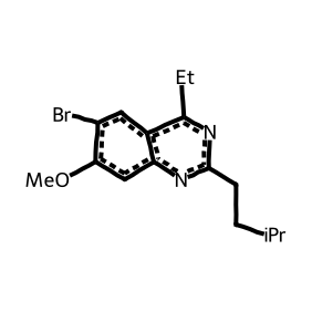 CCc1nc(CCC(C)C)nc2cc(OC)c(Br)cc12